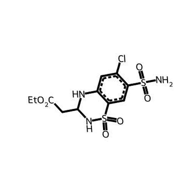 CCOC(=O)CC1Nc2cc(Cl)c(S(N)(=O)=O)cc2S(=O)(=O)N1